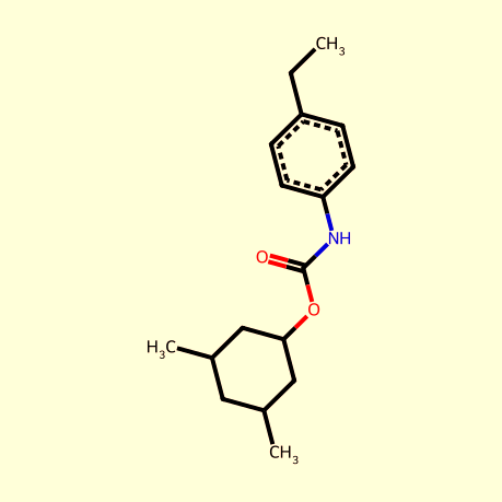 CCc1ccc(NC(=O)OC2CC(C)CC(C)C2)cc1